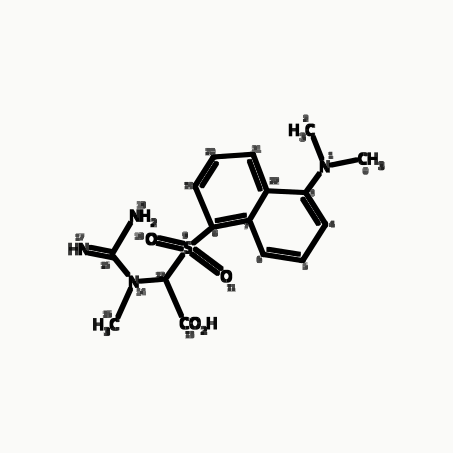 CN(C)c1cccc2c(S(=O)(=O)C(C(=O)O)N(C)C(=N)N)cccc12